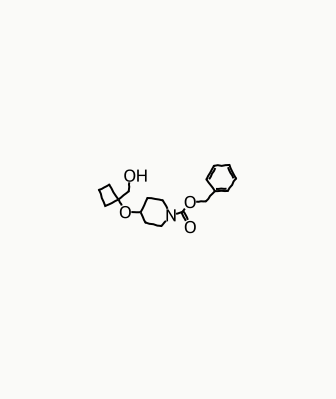 O=C(OCc1ccccc1)N1CCC(OC2(CO)CCC2)CC1